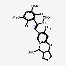 COc1cc(OC)c(Cl)c(/C(=C/c2cnc(NC3COCC3NC=O)cc2C)NC=O)c1Cl